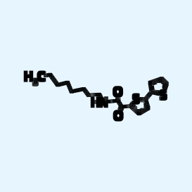 CCCCCCCCNC(=O)C(=O)c1ccc(-c2cccs2)s1